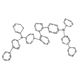 C1=CCCC(N(c2ccc(-c3ccccc3)cc2)c2ccc(-c3ccccc3-c3ccccc3-c3ccc(N(c4ccccc4)c4ccc(-c5ccccc5)cc4)cc3)cc2)=C1